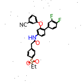 CCS(=O)(=O)c1ccc(CC(=O)Nc2ccc(-c3ccc(F)c(F)c3)c(Oc3cccc(C#N)c3)c2)cc1